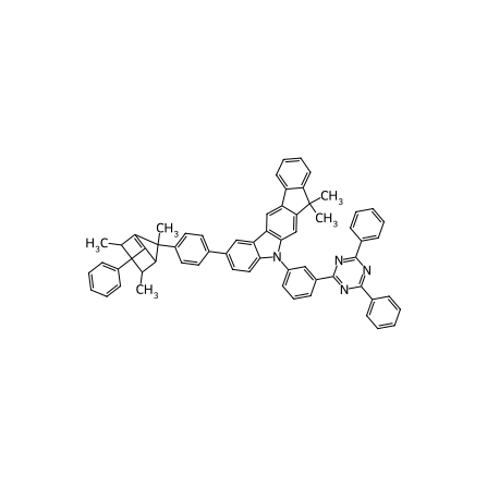 CC1C2=C3C(C(C)C31c1ccccc1)C2(C)c1ccc(-c2ccc3c(c2)c2cc4c(cc2n3-c2cccc(-c3nc(-c5ccccc5)nc(-c5ccccc5)n3)c2)C(C)(C)c2ccccc2-4)cc1